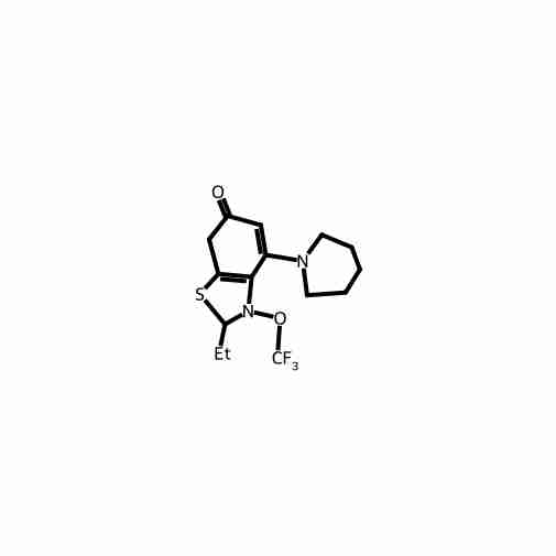 CCC1SC2=C(C(N3CCCCC3)=CC(=O)C2)N1OC(F)(F)F